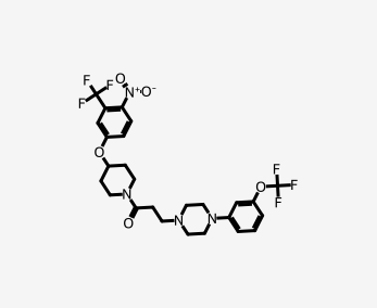 O=C(CCN1CCN(c2cccc(OC(F)(F)F)c2)CC1)N1CCC(Oc2ccc([N+](=O)[O-])c(C(F)(F)F)c2)CC1